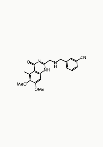 COc1cc2[nH]c(CNCc3cccc(C#N)c3)nc(=O)c2c(C)c1OC